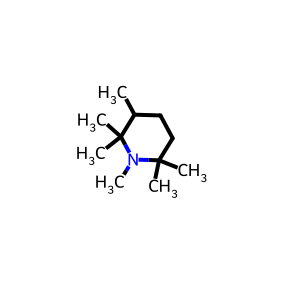 CC1CCC(C)(C)N(C)C1(C)C